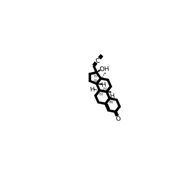 C=C=C[C@@]1(O)CC[C@H]2[C@@H]3CCC4=CC(=O)CC[C@@H]4[C@@]3(C)CC[C@@]21C